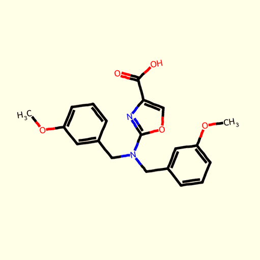 COc1cccc(CN(Cc2cccc(OC)c2)c2nc(C(=O)O)co2)c1